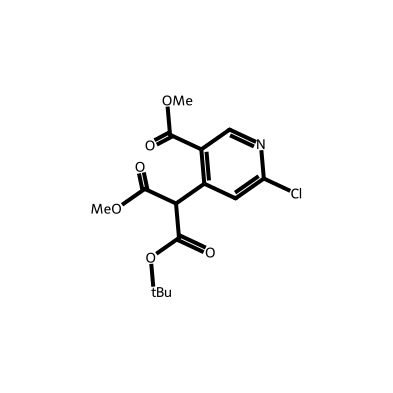 COC(=O)c1cnc(Cl)cc1C(C(=O)OC)C(=O)OC(C)(C)C